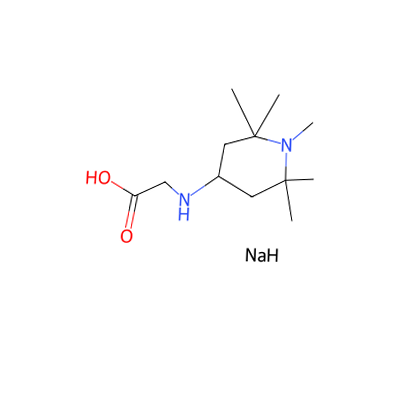 CN1C(C)(C)CC(NCC(=O)O)CC1(C)C.[NaH]